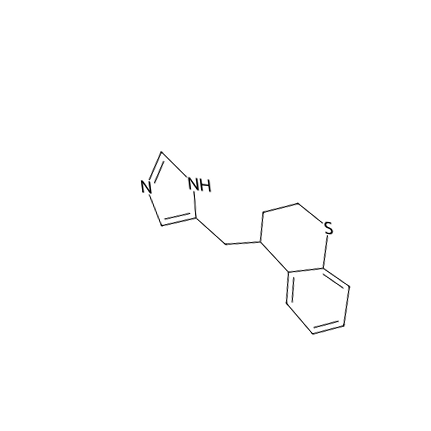 c1ccc2c(c1)SCCC2Cc1cnc[nH]1